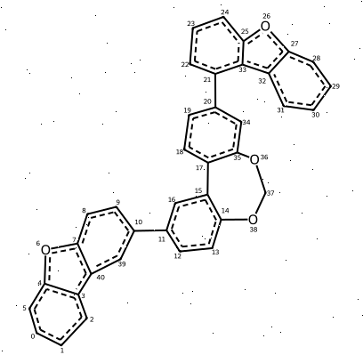 c1ccc2c(c1)oc1ccc(-c3ccc4c(c3)-c3ccc(-c5cccc6oc7ccccc7c56)cc3OCO4)cc12